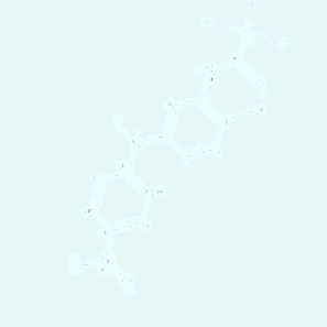 CN(c1ccc(F)c(NC(=O)C(F)(F)F)c1)c1ccc([N+](=O)[O-])cn1